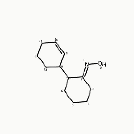 ON=C1CCCCC1C1C=CCCC1